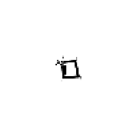 C1=[As]CC1